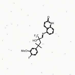 COc1cc(C(C)(C)CC(O)(C=Nc2cccc3[nH]c(=O)ccc23)C(F)(F)F)ccc1F